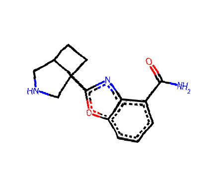 NC(=O)c1cccc2oc(C34CCC3CNC4)nc12